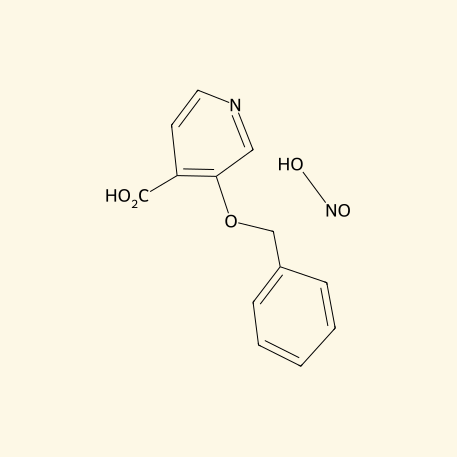 O=C(O)c1ccncc1OCc1ccccc1.O=NO